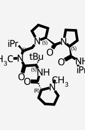 CC(C)NC(=O)[C@@H]1CCCN1C(=O)[C@@H]1CCCN1C[C@H](C(C)C)N(C)C(=O)[C@@H](NC(=O)[C@H]1CCCCN1C)C(C)(C)C